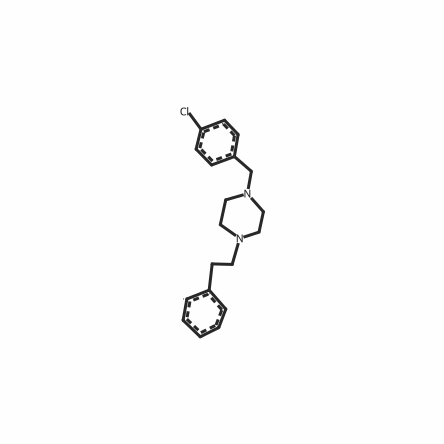 Clc1ccc(CN2CCN(CCc3[c]cccc3)CC2)cc1